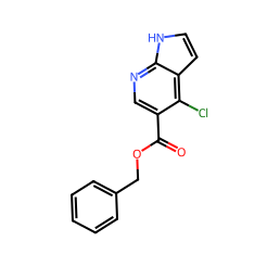 O=C(OCc1ccccc1)c1cnc2[nH]ccc2c1Cl